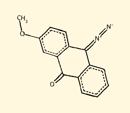 COc1ccc2c(c1)C(=O)c1ccccc1C2=[N+]=[N-]